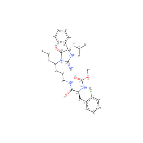 CCCC(CCCNC(=O)[C@H](Cc1ccccc1Cl)NC(=O)OC)N1C(=N)N[C@](CC(C)C)(c2ccccc2)C1=O